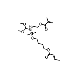 C=C(C)C(=O)OCC[SiH](C(OC)OC)[Si](C)(C)OCCCCOC(=O)C=CC